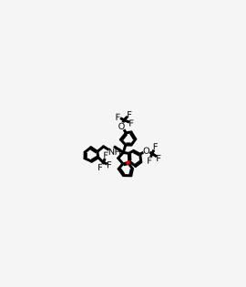 FC(F)(F)Oc1cccc(C(CNCc2ccccc2C(F)(F)F)(Cc2ccccc2)c2cccc(OC(F)(F)F)c2)c1